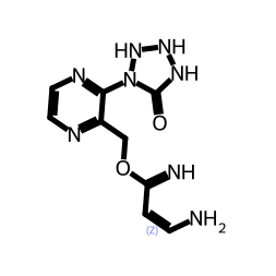 N=C(/C=C\N)OCc1nccnc1N1NNNC1=O